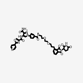 CN(CCOCCOCCCc1cccc2c1C(=O)N(C1CCC(=O)NC1=O)C2=O)C(=O)c1ccc(-n2cc(NC(=O)c3coc(-c4ccncc4)n3)c(C(N)=O)n2)cc1